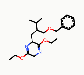 CCOC1=N[C@@H](C[C@H](COCc2ccccc2)C(C)C)C(OCC)=NC1